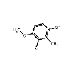 COc1cc[n+]([O-])c(C)c1Cl